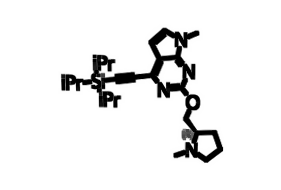 CC(C)[Si](C#Cc1nc(OC[C@H]2CCCN2C)nc2c1ccn2C)(C(C)C)C(C)C